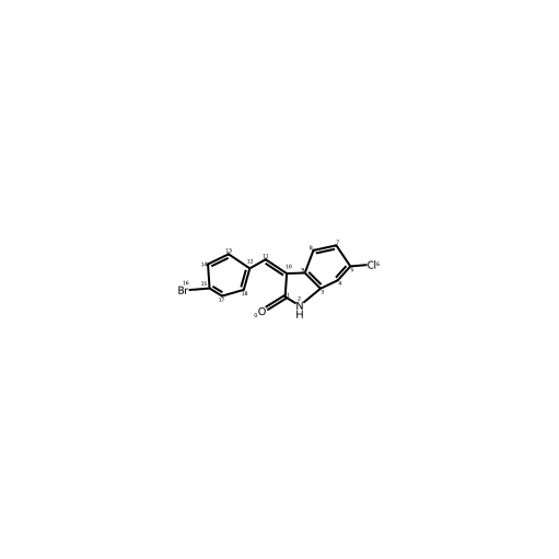 O=C1Nc2cc(Cl)ccc2C1=Cc1ccc(Br)cc1